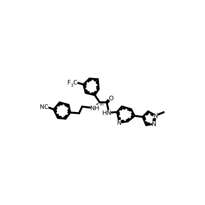 Cn1cc(-c2ccc(NC(=O)[C@H](NCCc3ccc(C#N)cc3)c3cccc(C(F)(F)F)c3)nc2)cn1